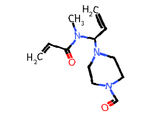 C=CC(=O)N(C)C(C=C)N1CCN(C=O)CC1